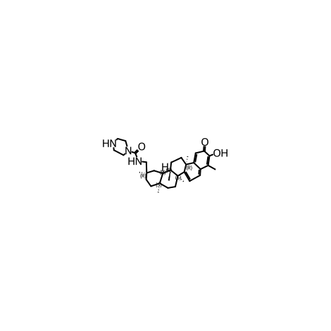 CC1=C(O)C(=O)C=C2C1=CC=C1[C@@]2(C)CC[C@@]2(C)[C@@H]3C[C@](C)(CNC(=O)N4CCNCC4)CC[C@]3(C)CC[C@]12C